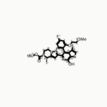 COCCOc1cc(F)cc(F)c1-c1c(-c2cc3n(n2)CCN(C(=O)OC(C)(C)C)[C@@H]3C)nc(O)c2scc(F)c12